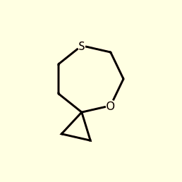 C1CSCCC2(CC2)O1